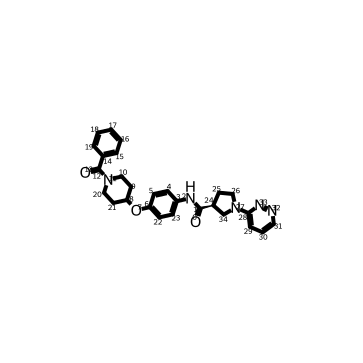 O=C(Nc1ccc(OC2CCN(C(=O)c3ccccc3)CC2)cc1)[C@H]1CCN(c2cccnn2)C1